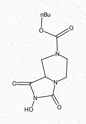 CCCCOC(=O)N1CCN2C(=O)N(O)C(=O)C2C1